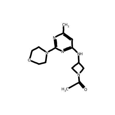 CC(=O)N1CC(Nc2cc(C)nc(N3CCOCC3)n2)C1